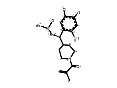 C=C(C)C(=O)N1CCC([C@@H](N[S+]([O-])C(C)(C)C)c2cc(Cl)c(Cl)cc2O)CC1